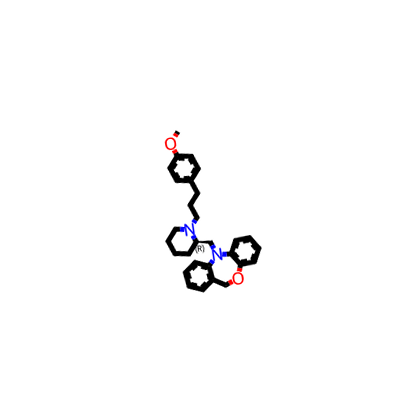 COc1ccc(CCCN2CCCC[C@@H]2CN2c3ccccc3COc3ccccc32)cc1